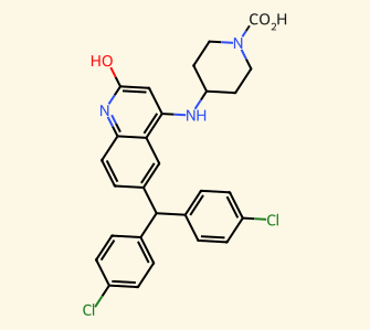 O=C(O)N1CCC(Nc2cc(O)nc3ccc(C(c4ccc(Cl)cc4)c4ccc(Cl)cc4)cc23)CC1